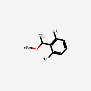 CCCCOC(C)c1c(C)cccc1C